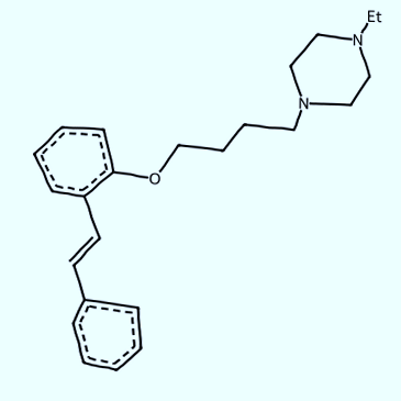 CCN1CCN(CCCCOc2ccccc2/C=C/c2ccccc2)CC1